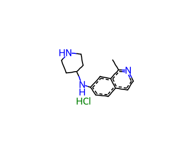 Cc1nccc2ccc(NC3CCNCC3)cc12.Cl